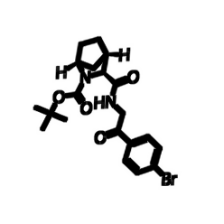 CC(C)(C)OC(=O)N1[C@@H]2CC[C@@H](C2)[C@H]1C(=O)NCC(=O)c1ccc(Br)cc1